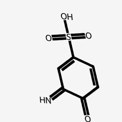 N=C1C=C(S(=O)(=O)O)C=CC1=O